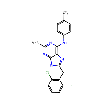 CSc1nc(Nc2ccc(C(F)(F)F)cc2)c2nc(Cc3c(Cl)cccc3Cl)[nH]c2n1